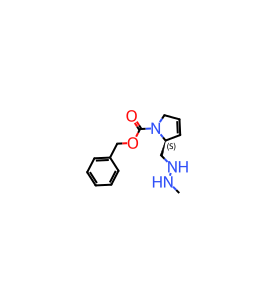 CNNC[C@@H]1C=CCN1C(=O)OCc1ccccc1